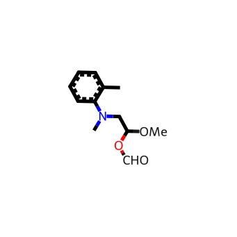 COC(CN(C)c1ccccc1C)OC=O